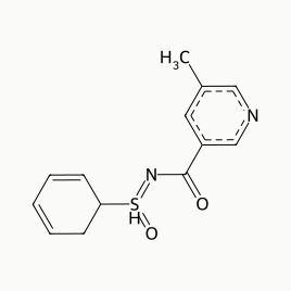 Cc1cncc(C(=O)N=[SH](=O)C2C=CC=CC2)c1